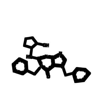 O=c1c2c(ncn2Cc2ccccc2)nc(NC2CCCC2O)n1Cc1ccccc1